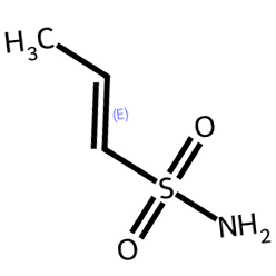 C/C=C/S(N)(=O)=O